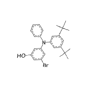 CC(C)(C)c1cc(N(c2ccccc2)c2cc(O)cc(Br)c2)cc(C(C)(C)C)c1